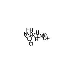 CC(C)(C)OC(=O)N1C[C@H]2CC(O)(c3cc(Cl)cc4cn[nH]c34)C[C@@H]2C1